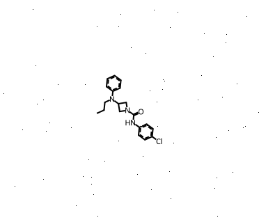 CCCN(c1ccccc1)C1CN(C(=O)Nc2ccc(Cl)cc2)C1